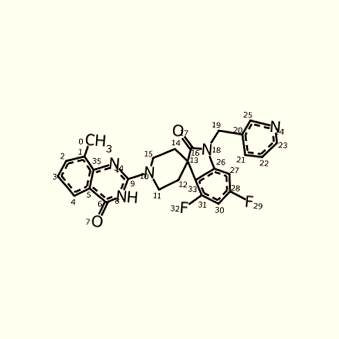 Cc1cccc2c(=O)[nH]c(N3CCC4(CC3)C(=O)N(Cc3cccnc3)c3cc(F)cc(F)c34)nc12